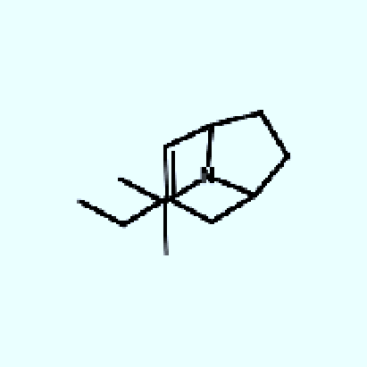 CCC1=CC2CCC(C1)N2C(C)C